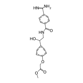 COC(=O)COc1ccc(C(O)CNC(=O)c2ccc(C(=N)N)cc2)cc1